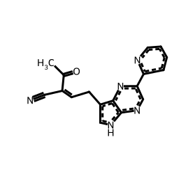 CC(=O)C(C#N)=CCc1c[nH]c2ncc(-c3ccccn3)nc12